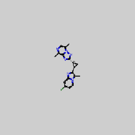 Cc1ncc(C)n2nc([C@@H]3CC3c3nc4cc(F)ccn4c3C)nc12